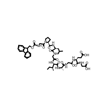 CC[C@H](C)[C@H](NC(=O)CNC(=O)[C@H](CC(C)C)NC(=O)[C@@H]1CCCN1C(=O)CNC(=O)OCC1c2ccccc2-c2ccccc21)C(=O)N[C@@H](C)C(=O)NCC(=O)N[C@@H](CCC(=O)O)C(=O)NCC(=O)O